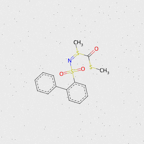 CSC(=O)S(C)=NS(=O)(=O)c1ccccc1-c1ccccc1